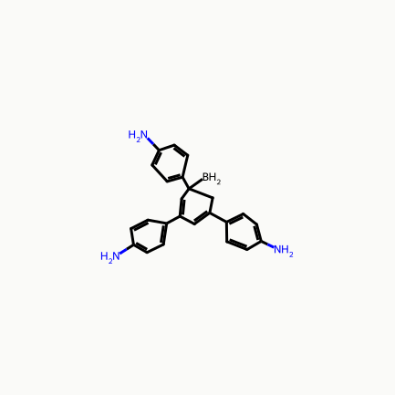 BC1(c2ccc(N)cc2)C=C(c2ccc(N)cc2)C=C(c2ccc(N)cc2)C1